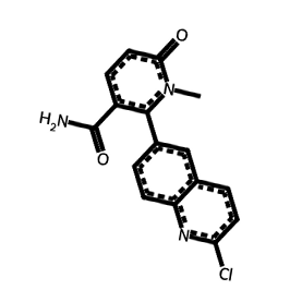 Cn1c(-c2ccc3nc(Cl)ccc3c2)c(C(N)=O)ccc1=O